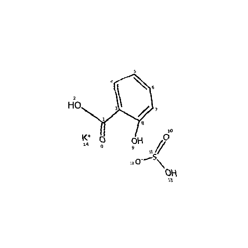 O=C(O)c1ccccc1O.O=S([O-])O.[K+]